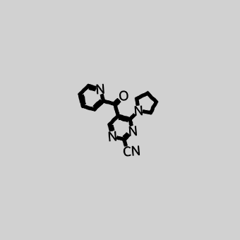 N#Cc1ncc(C(=O)c2ccccn2)c(N2CCCC2)n1